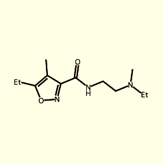 CCc1onc(C(=O)NCCN(C)CC)c1C